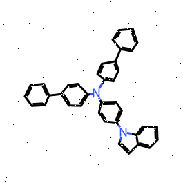 c1ccc(-c2ccc(N(c3ccc(-c4ccccc4)cc3)c3ccc(-n4ccc5ccccc54)cc3)cc2)cc1